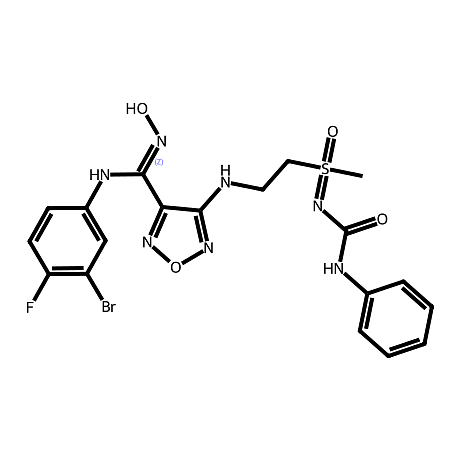 CS(=O)(CCNc1nonc1/C(=N/O)Nc1ccc(F)c(Br)c1)=NC(=O)Nc1ccccc1